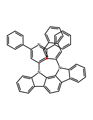 c1ccc(-c2cc(-n3c4ccccc4c4ccc5c6ccccc6n(-c6ccc7ccccc7c6)c5c43)cc(-c3ccccc3)n2)cc1